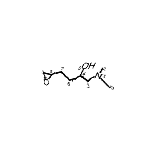 CN(C)CC(O)[CH]CC1CO1